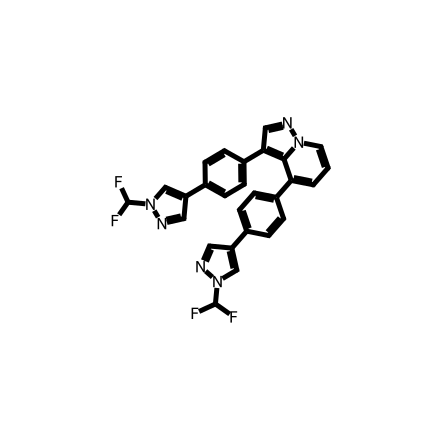 FC(F)n1cc(-c2ccc(-c3cccn4ncc(-c5ccc(-c6cnn(C(F)F)c6)cc5)c34)cc2)cn1